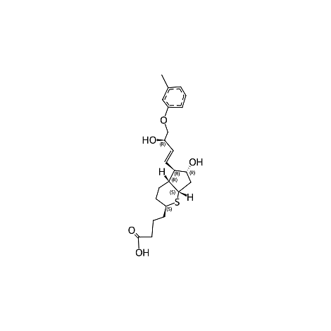 Cc1cccc(OC[C@H](O)C=C[C@@H]2[C@H]3CC[C@H](CCCC(=O)O)S[C@H]3C[C@H]2O)c1